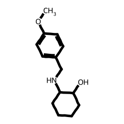 COc1ccc(CNC2CCCCC2O)cc1